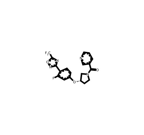 O=C(c1cccnc1)N1CC[C@H](Oc2ccc(-c3noc(C(F)(F)F)n3)c(F)c2)C1